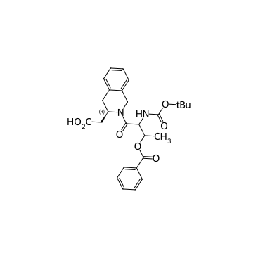 CC(OC(=O)c1ccccc1)C(NC(=O)OC(C)(C)C)C(=O)N1Cc2ccccc2C[C@@H]1CC(=O)O